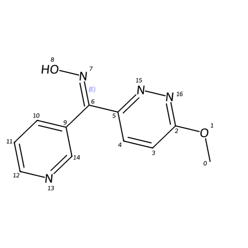 COc1ccc(/C(=N/O)c2cccnc2)nn1